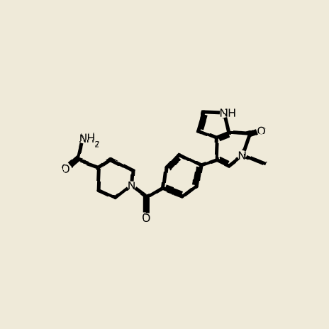 Cn1cc(-c2ccc(C(=O)N3CCC(C(N)=O)CC3)cc2)c2cc[nH]c2c1=O